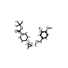 CSc1ccc(COC[C@@H]2C[C@@H]2C2CCN(C(=O)OC(C)(C)C)CC2)cc1F